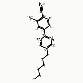 CCCCCCc1cnc(-c2ccc(C#N)c(F)c2)nc1